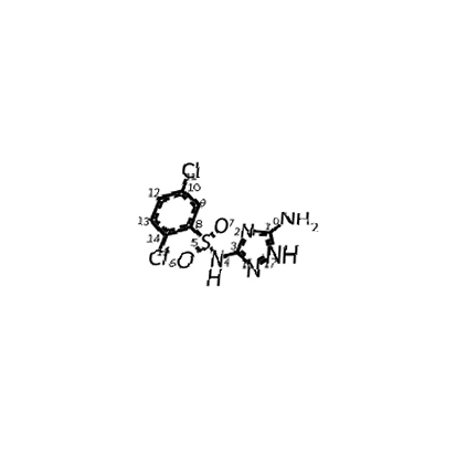 Nc1nc(NS(=O)(=O)c2cc(Cl)ccc2Cl)n[nH]1